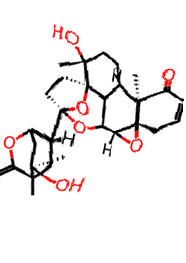 C=C1OC2C[C@@](C)(O)C1(C)C[C@H]2[C@@]12CC[C@@]3(O1)C1C(O2)[C@H]2O[C@]24CC=CC(=O)[C@]4(C)[C@H]1CC[C@@]3(C)O